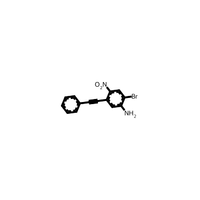 Nc1cc(C#Cc2ccccc2)c([N+](=O)[O-])cc1Br